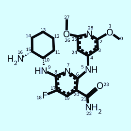 COc1cc(Nc2nc(N[C@H]3CCCC[C@H]3N)c(F)cc2C(N)=O)cc(OC)n1